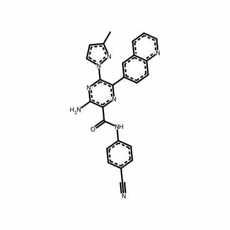 Cc1ccn(-c2nc(N)c(C(=O)Nc3ccc(C#N)cc3)nc2-c2ccc3ncccc3c2)n1